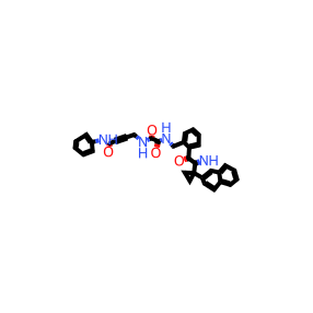 N=C(C(=O)c1ccccc1CNC(=O)C(=O)NCC#CC(=O)Nc1ccccc1)C1(c2ccc3ccccc3c2)CC1